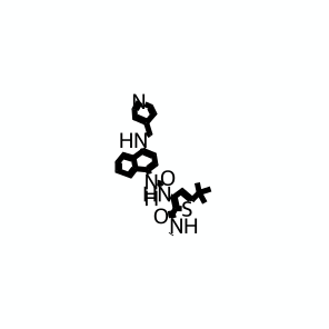 CNC(=O)c1sc(C(C)(C)C)cc1NC(=O)Nc1ccc(NCc2ccncc2)c2ccccc12